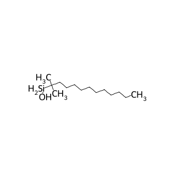 CCCCCCCCCCCC(C)(C)[SiH2]O